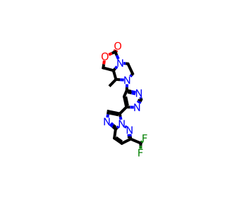 CC1C2COC(=O)N2CCN1c1cc(-c2cnc3ccc(C(F)F)nn23)ncn1